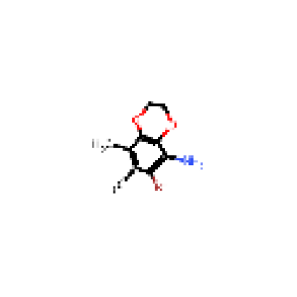 Cc1c(C)c2c(c(N)c1Br)OCCO2